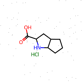 Cl.O=C(O)C1CC2CCCC2N1